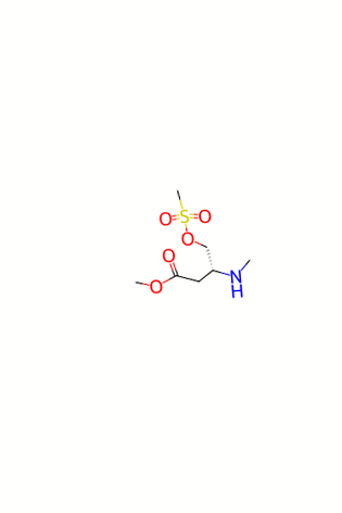 CN[C@@H](COS(C)(=O)=O)CC(=O)OC